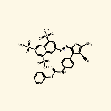 N#Cc1c(N)sc(/N=N/c2cc(S(=O)(=O)O)c3cc(S(=O)(=O)O)cc(S(=O)(=O)O)c3c2)c1-c1ccc(NC(=O)Oc2ccccc2)cc1